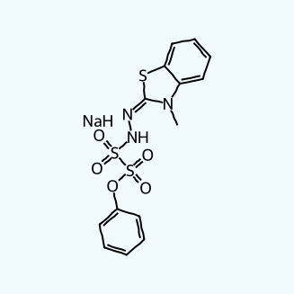 Cn1c(=NNS(=O)(=O)S(=O)(=O)Oc2ccccc2)sc2ccccc21.[NaH]